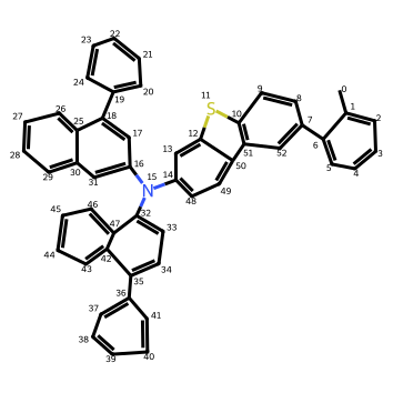 Cc1ccccc1-c1ccc2sc3cc(N(c4cc(-c5ccccc5)c5ccccc5c4)c4ccc(-c5ccccc5)c5ccccc45)ccc3c2c1